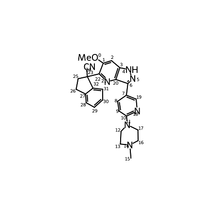 COc1cc2[nH]nc(-c3ccc(N4CCN(C)CC4)nc3)c2nc1C1(C#N)CCc2ccccc21